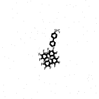 Fc1c(F)c(F)c([B-](c2c(F)c(F)c(F)c(F)c2F)(c2c(F)c(F)c(F)c(F)c2F)c2c(F)c(F)c(F)c(F)c2F)c(F)c1F.[SH2+]c1ccc(-c2ccccc2)cc1